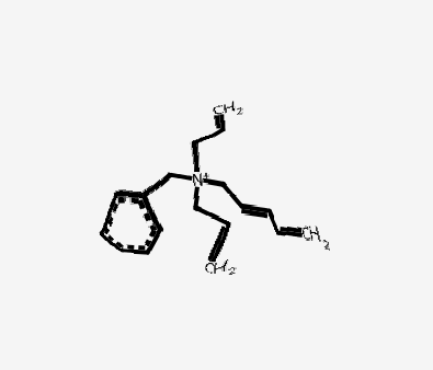 C=CC=CC[N+](CC=C)(CC=C)Cc1ccccc1